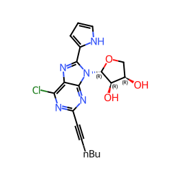 CCCCC#Cc1nc(Cl)c2nc(-c3ccc[nH]3)n([C@@H]3OC[C@@H](O)[C@H]3O)c2n1